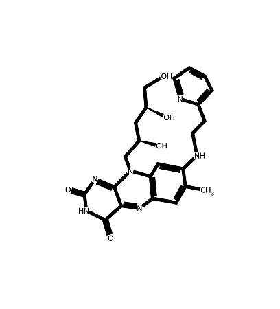 Cc1cc2nc3c(=O)[nH]c(=O)nc-3n(C[C@H](O)C[C@H](O)CO)c2cc1NCCc1ccccn1